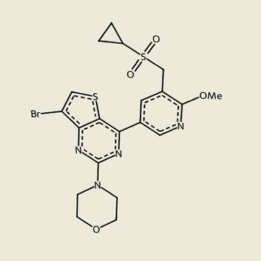 COc1ncc(-c2nc(N3CCOCC3)nc3c(Br)csc23)cc1CS(=O)(=O)C1CC1